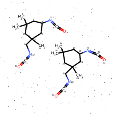 CC1(C)CC(N=C=O)CC(C)(CN=C=O)C1.CC1(C)CC(N=C=O)CC(C)(CN=C=O)C1